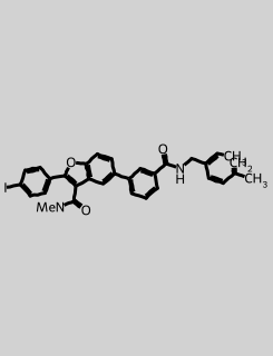 C=C(C)/C=C\C(=C/C)CNC(=O)c1cccc(-c2ccc3oc(-c4ccc(I)cc4)c(C(=O)NC)c3c2)c1